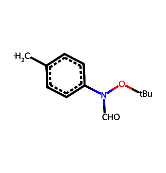 [CH2]c1ccc(N(C=O)OC(C)(C)C)cc1